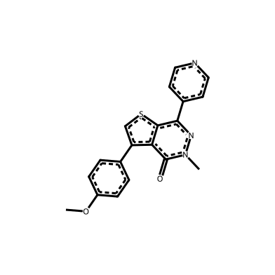 COc1ccc(-c2csc3c(-c4ccncc4)nn(C)c(=O)c23)cc1